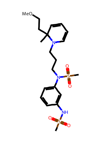 COCCC1(C)[C]=CC=CN1CCCN(c1cccc(NS(C)(=O)=O)c1)S(C)(=O)=O